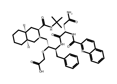 CC(C)(C)NC(=O)[C@@H]1C[C@@H]2CCCC[C@@H]2CN1C[C@@H](OCC(=O)O)[C@H](Cc1ccccc1)NC(=O)[C@H](CC(N)=O)NC(=O)c1ccc2ccccc2n1